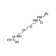 CC(C)CNC(=O)NCCOCCOCCNC[SH](S)S